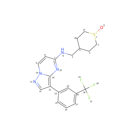 [O-][S+]1CCC(CNc2ccn3ncc(-c4cccc(C(F)(F)F)c4)c3n2)CC1